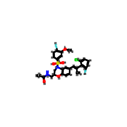 COc1cc(S(=O)(=O)N2C[C@H](CNC(C)=O)Oc3ccc(/C=C(\C)c4c(F)cccc4Cl)cc32)ccc1F